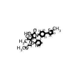 COCCOc1ncccc1[C@@H]1C(C(=O)C(C)C)=C(O)C(=O)N1c1ccc(-c2ccc(C)s2)cc1